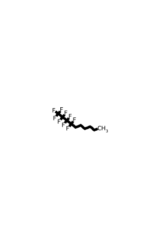 CCCCCCC(F)(F)C(F)(F)C(F)(F)C(F)(F)F